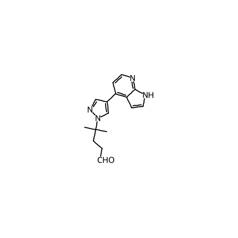 CC(C)(CCC=O)n1cc(-c2ccnc3[nH]ccc23)cn1